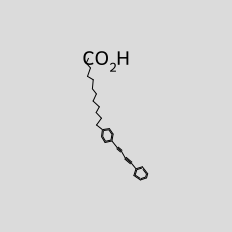 O=C(O)CCCCCCCCCCCc1ccc(C#CC#Cc2ccccc2)cc1